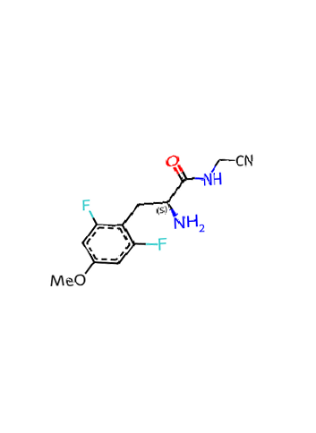 COc1cc(F)c(C[C@H](N)C(=O)NCC#N)c(F)c1